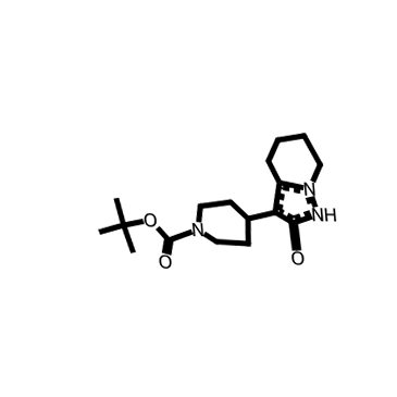 CC(C)(C)OC(=O)N1CCC(c2c3n([nH]c2=O)CCCC3)CC1